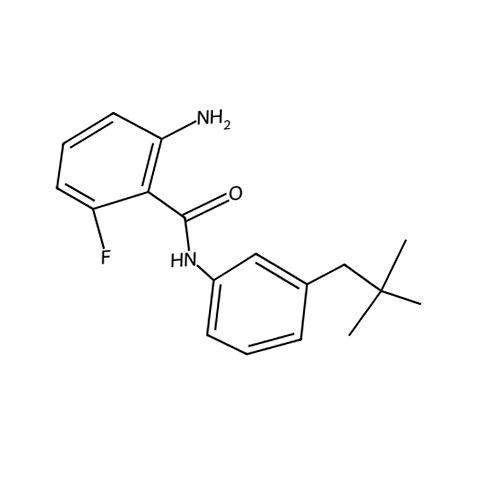 CC(C)(C)Cc1cccc(NC(=O)c2c(N)cccc2F)c1